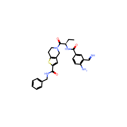 CC[C@@H](NC(=O)c1ccc(N)c(C=N)c1)C(=O)N1CCc2sc(C(=O)NCc3ccccc3)cc2C1